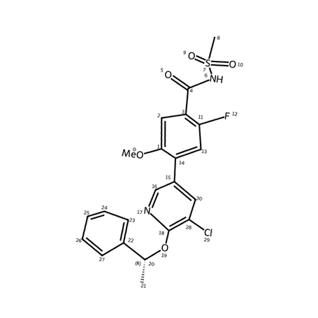 COc1cc(C(=O)NS(C)(=O)=O)c(F)cc1-c1cnc(O[C@H](C)c2ccccc2)c(Cl)c1